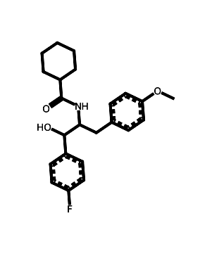 COc1ccc(CC(NC(=O)C2CCCCC2)C(O)c2ccc(F)cc2)cc1